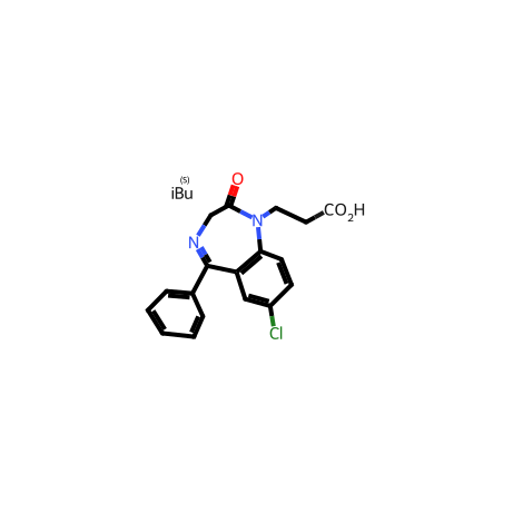 CC[C@H](C)C1N=C(c2ccccc2)c2cc(Cl)ccc2N(CCC(=O)O)C1=O